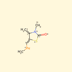 C=c1/c(=C/PC)sc(=O)n1C